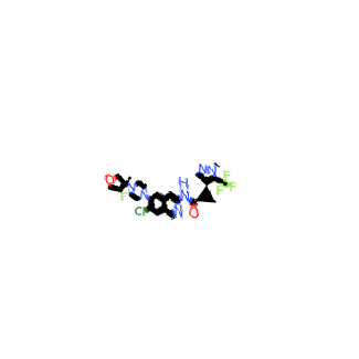 Cn1ncc([C@@H]2C[C@H]2C(=O)Nc2cc3cc(N4CCN([C@@]5(C)COC[C@H]5F)CC4)c(Cl)cc3cn2)c1C(F)(F)F